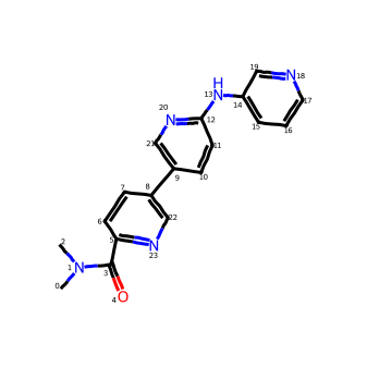 CN(C)C(=O)c1ccc(-c2ccc(Nc3cccnc3)nc2)cn1